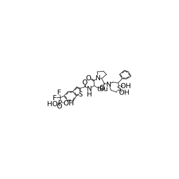 CC(C)(C)C(NC(=O)c1cc2cc(C(F)(F)P(=O)(O)O)ccc2s1)C(=O)N1CCCC1C(=O)N1CCS(O)(O)C(c2ccccc2)C1